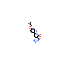 CC(C)COc1ccc(-c2ccc(C(N)=O)c(=O)[nH]2)cc1